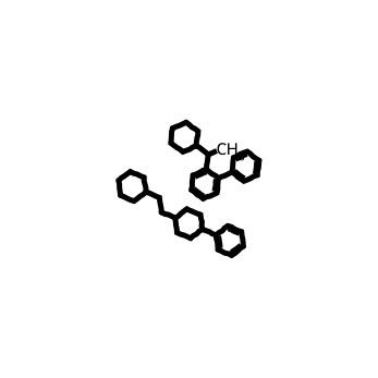 CC(c1ccccc1-c1ccccc1)C1CCCCC1.c1ccc(C2CCC(CCC3CCCCC3)CC2)cc1